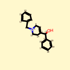 OC(C1=CCN(Cc2ccccc2)CC1)c1ccccc1